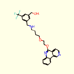 OCc1cc(CNCCCCOCCOc2nc3ccccc3c3cnccc23)cc(C(F)(F)F)c1